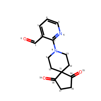 O=Cc1cccnc1N1CCC2(CC1)C(=O)CCC2=O